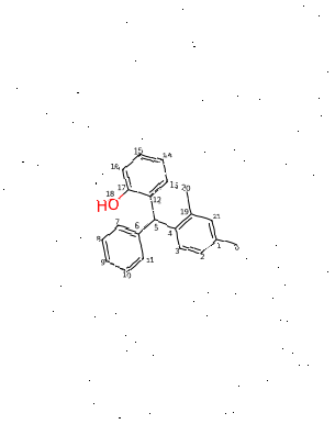 Cc1ccc(C(c2ccccc2)c2ccccc2O)c(C)c1